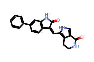 O=C1Nc2cc(-c3ccccc3)ccc2C1=Cc1[nH]cc2c1CCNC2=O